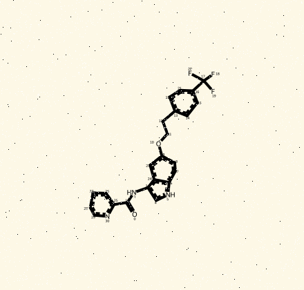 O=C(Nc1c[nH]c2ccc(OCCc3ccc(C(F)(F)F)cc3)cc12)c1ccccn1